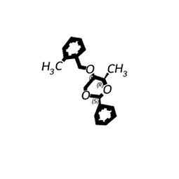 Cc1ccccc1CO[C@@H]1CO[C@H](c2ccccc2)O[C@@H]1C